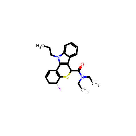 CCCn1c2c(c3ccccc31)C(C(=O)N(CC)CC)SC1=C2C=CC[C@H]1I